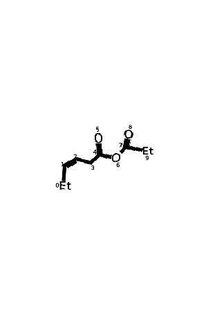 CC/C=C\CC(=O)OC(=O)CC